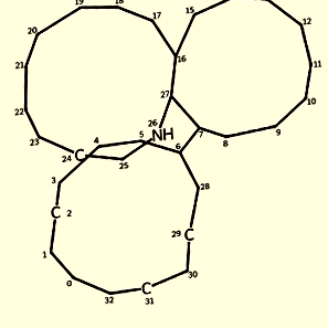 C1CCCCCC(C2CCCCCCCCC3CCCCCCCCCNC32)CCCCC1